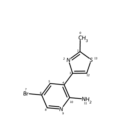 Cc1nc(-c2cc(Br)cnc2N)cs1